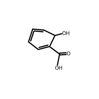 O=C(O)C1=CC=C=CC1O